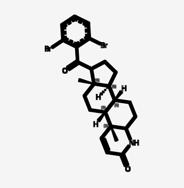 C[C@]12C=CC(=O)NC1CC[C@@H]1[C@H]2CC[C@]2(C)C(C(=O)c3c(Br)cccc3Br)CC[C@@H]12